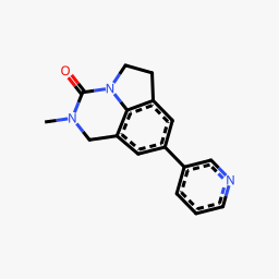 CN1Cc2cc(-c3cccnc3)cc3c2N(CC3)C1=O